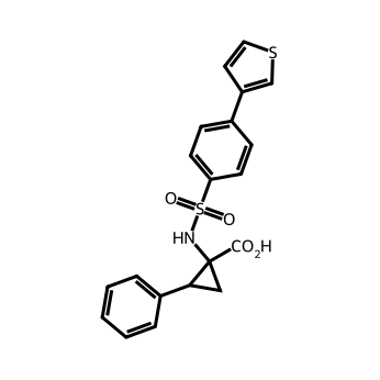 O=C(O)C1(NS(=O)(=O)c2ccc(-c3ccsc3)cc2)CC1c1ccccc1